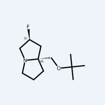 CC(C)(C)OC[C@]12CCCN1C[C@@H](F)C2